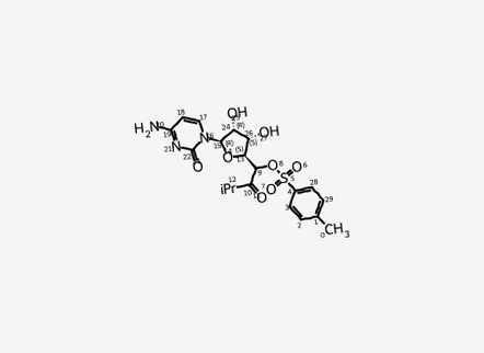 Cc1ccc(S(=O)(=O)OC(C(=O)C(C)C)[C@H]2O[C@@H](n3ccc(N)nc3=O)[C@H](O)[C@@H]2O)cc1